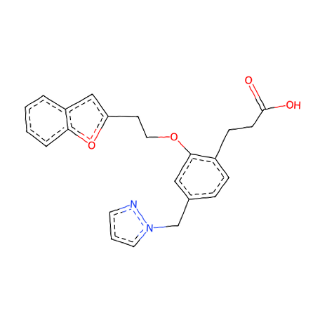 O=C(O)CCc1ccc(Cn2cccn2)cc1OCCc1cc2ccccc2o1